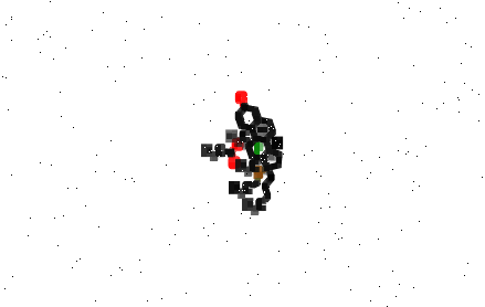 CCCC[C@]1(SCC)CC[C@H]2[C@@H]3CCC4=CC(=O)C=C[C@]4(C)C3(F)[C@@H](OC(C)=O)C[C@@]21C